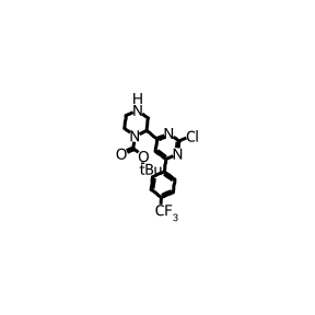 CC(C)(C)OC(=O)N1CCNCC1c1cc(-c2ccc(C(F)(F)F)cc2)nc(Cl)n1